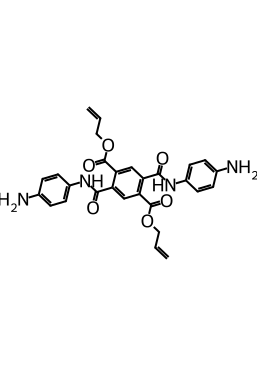 C=CCOC(=O)c1cc(C(=O)Nc2ccc(N)cc2)c(C(=O)OCC=C)cc1C(=O)Nc1ccc(N)cc1